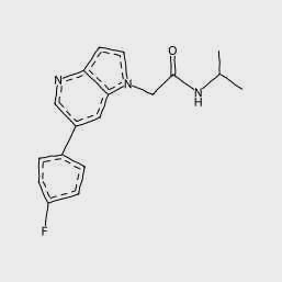 CC(C)NC(=O)Cn1ccc2ncc(-c3ccc(F)cc3)cc21